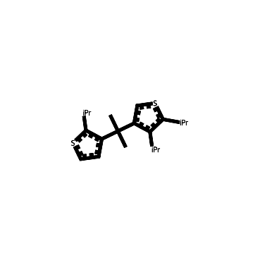 CC(C)c1sccc1C(C)(C)c1csc(C(C)C)c1C(C)C